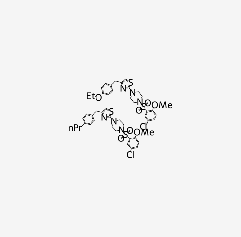 CCCc1ccc(Cc2csc(N3CCN(S(=O)(=O)c4cc(Cl)ccc4OC)CC3)n2)cc1.CCOc1ccc(Cc2csc(N3CCN(S(=O)(=O)c4cc(Cl)ccc4OC)CC3)n2)cc1